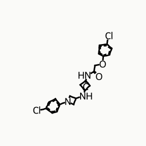 O=C(COc1ccc(Cl)cc1)NC12CC(NC3CN(c4ccc(Cl)cc4)C3)(C1)C2